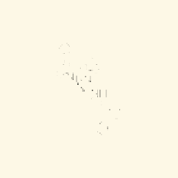 CC(C)(C)OC(=O)NC[C@H](NC(=O)OCC1c2ccccc2-c2ccccc21)C(=O)N1CCN(C(=O)OCc2ccccc2)CC1